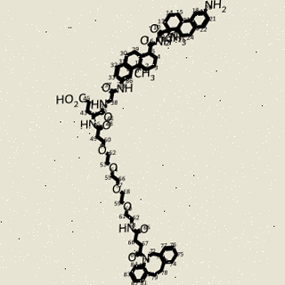 CC12CCCC(C(=O)NC(=O)C3(C)CCCC4c5cc(N)ccc5CCC43N)C1CCc1ccc(NC(=O)CNC(=O)C(CCC(=O)O)NC(=O)CCOCCOCCOCCOCCNC(=O)CCC(=O)N3CC4=C(CCC=C4)CCc4ccccc43)cc12